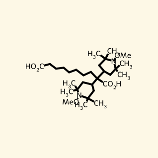 CON1C(C)(C)CC(C(CCCCCCCC(=O)O)(C(=O)O)C2CC(C)(C)N(OC)C(C)(C)C2)CC1(C)C